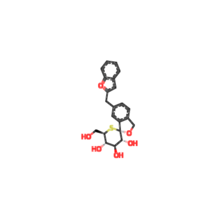 OC[C@H]1S[C@]2(OCc3ccc(Cc4cc5ccccc5o4)cc32)[C@H](O)[C@@H](O)[C@@H]1O